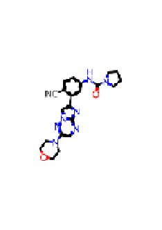 N#Cc1ccc(NC(=O)N2CCCC2)cc1-c1cn2nc(N3CCOCC3)cnc2n1